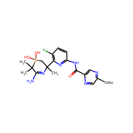 COc1cnc(C(=O)Nc2ccc(F)c(C3(C)CS(O)(O)C(C)(C)C(N)=N3)n2)cn1